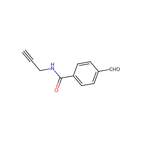 C#CCNC(=O)c1ccc(C=O)cc1